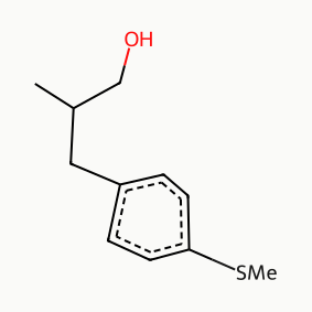 CSc1ccc(CC(C)CO)cc1